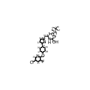 CC(C)(C)[Si](C)(C)OC[C@H](Cn1ccc(-c2ccc(Oc3ncc(Cl)cc3F)cc2)n1)NC(=O)O